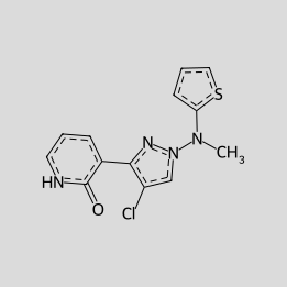 CN(c1cccs1)n1cc(Cl)c(-c2ccc[nH]c2=O)n1